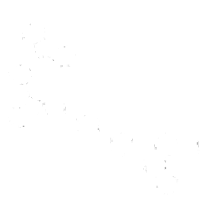 c1cc(-n2c3ccccc3c3ccccc32)cc(-n2c3ccccc3c3cc(-c4ccc(-c5ccc(-c6nc7ccccc7c7c6ccc6ccccc67)cc5)cc4)ccc32)c1